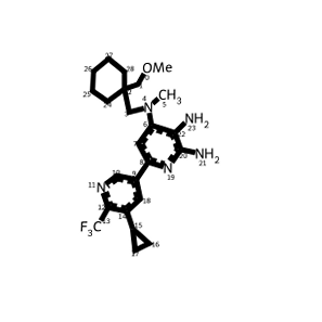 COCC1(CN(C)c2cc(-c3cnc(C(F)(F)F)c(C4CC4)c3)nc(N)c2N)CCCCC1